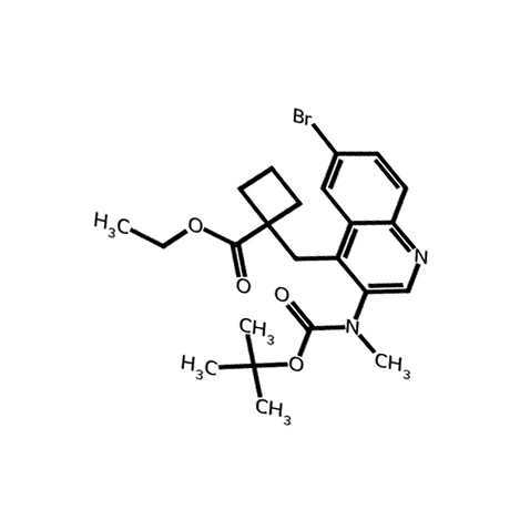 CCOC(=O)C1(Cc2c(N(C)C(=O)OC(C)(C)C)cnc3ccc(Br)cc23)CCC1